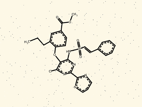 CCCc1cc(C(=O)OC)ccc1Oc1c(Cl)nc(-c2ncccn2)nc1NS(=O)(=O)/C=C/c1ccccc1